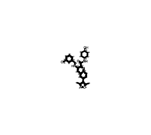 Cc1noc(C)c1-c1ccc2nc(C(=O)N[C@H]3CC[C@H](O)CC3)c(NCc3cccc(Cl)c3)cc2c1